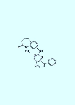 Cc1cnc(Nc2ccc3c(c2)N(C)C(=O)CCC3)nc1Nc1ccccc1